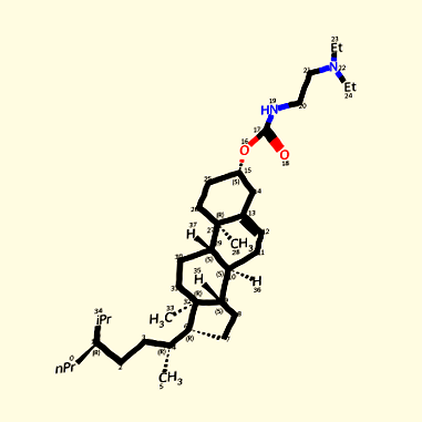 CCC[C@H](CC[C@@H](C)[C@H]1CC[C@H]2[C@@H]3CC=C4C[C@@H](OC(=O)NCCN(CC)CC)CC[C@]4(C)[C@H]3CC[C@]12C)C(C)C